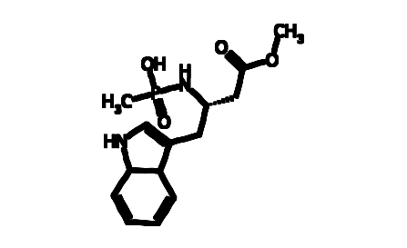 COC(=O)C[C@H](CC1=CNC2C=CC=CC12)NP(C)(=O)O